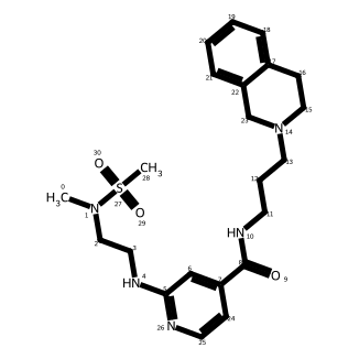 CN(CCNc1cc(C(=O)NCCCN2CCc3ccccc3C2)ccn1)S(C)(=O)=O